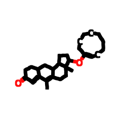 CC1=C2CCC3(C)C(OC4=CCCCCCCCC4)CCC3C2CC2CCC(=O)C=C12